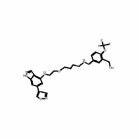 OCc1cc(CNCCCCOCCNc2cc(-c3cnoc3)cc3[nH]ncc23)ccc1OC(F)(F)F